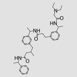 CCN(CC)CC(=O)NC(C)c1cccc(CCC(=O)NC(C)c2cccc(CC(C)CC(=O)NC(C)c3ccccc3)c2)c1